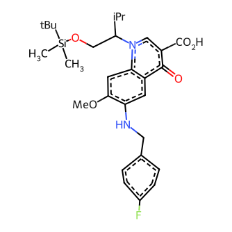 COc1cc2c(cc1NCc1ccc(F)cc1)c(=O)c(C(=O)O)cn2C(CO[Si](C)(C)C(C)(C)C)C(C)C